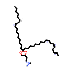 C/C=C/C/C=C\C/C=C\CCCCCCCCC1(CCCCCCCC/C=C\C[C@@H](C)CCCCC)OCC(CCN(C)C)O1